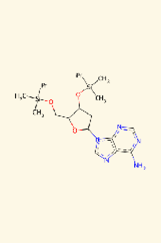 CC(C)[Si](C)(C)OCC1OC(n2cnc3c(N)ncnc32)CC1O[Si](C)(C)C(C)C